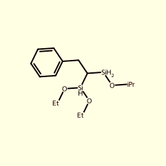 CCO[SiH](OCC)C(Cc1ccccc1)[SiH2]OC(C)C